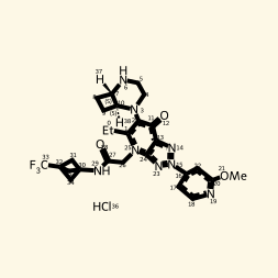 CCc1c(N2CCN[C@H]3CC[C@@H]32)c(=O)c2nn(-c3ccnc(OC)c3)nc2n1CC(=O)NC12CC(C(F)(F)F)(C1)C2.Cl